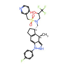 C[C@H]1C2=CNN(c3ccc(F)cc3)C2=CC2=C1[C@@H](CN(CC(O)C(F)(F)F)S(=O)(=O)Cc1cccnc1)CC2